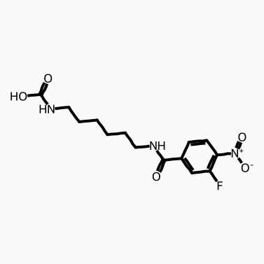 O=C(O)NCCCCCCNC(=O)c1ccc([N+](=O)[O-])c(F)c1